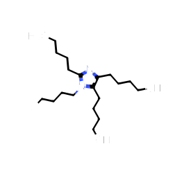 CCCCCc1nc(CCCCC)n(CCCCC)c1CCCCC